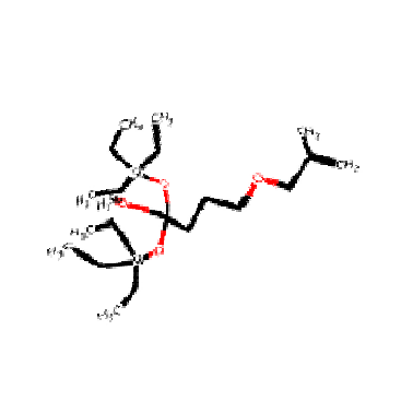 C=C(C)COCCCC(O[SiH3])(O[Si](CC)(CC)CC)O[Si](CC)(CC)CC